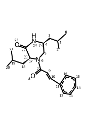 CC(C)C[C@H]1CN(C(=O)C=Cc2ccccc2)[C@@H](CC(C)C)C(=O)N1